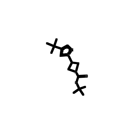 CC(C)(C)OC(=O)N1CC(n2cc(C(C)(C)C)cn2)C1